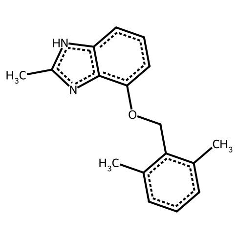 Cc1nc2c(OCc3c(C)cccc3C)cccc2[nH]1